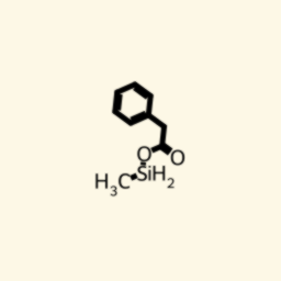 C[SiH2]OC(=O)Cc1ccccc1